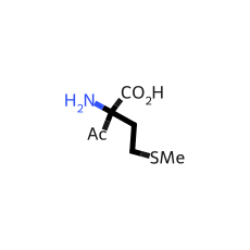 CSCCC(N)(C(C)=O)C(=O)O